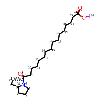 COC[C@@H]1CCCN1C(=O)CCCCCCCCCCCCCCC(=O)OI